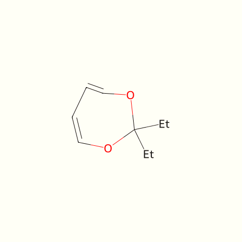 CCC1(CC)OC=CC=CO1